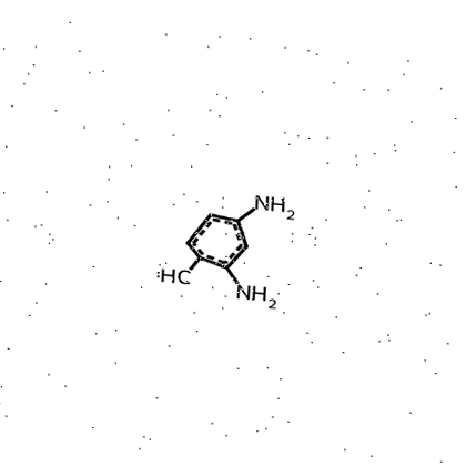 [CH]c1ccc(N)cc1N